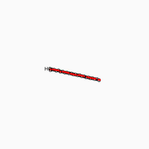 COCCOCCOCCOCCOCCOCCOCCOCCOCCOCCOCCOCCOCCOCCOCCOCCOCCOCCOCCOCCOCCOCCOCC(=O)O